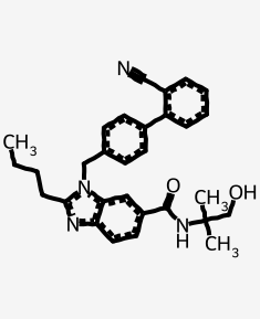 CCCCc1nc2ccc(C(=O)NC(C)(C)CO)cc2n1Cc1ccc(-c2ccccc2C#N)cc1